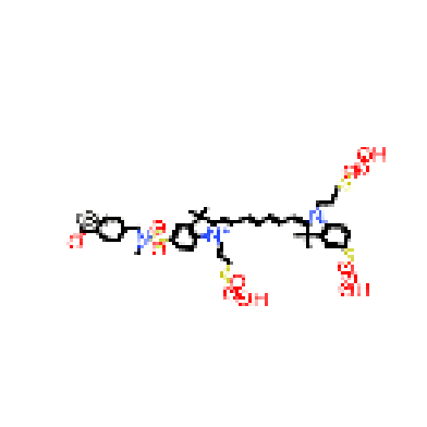 CN(CC1CCC(C(=O)C(C)(C)C)CC1)S(=O)(=O)c1ccc2c(c1)C(C)(C)C(/C=C/C=C/C=C/C=C1/N(CCCSOOO)c3ccc(SOOO)cc3C1(C)C)=[N+]2CCCSOOO